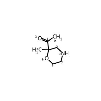 CC(=O)C1(C)CNCCO1